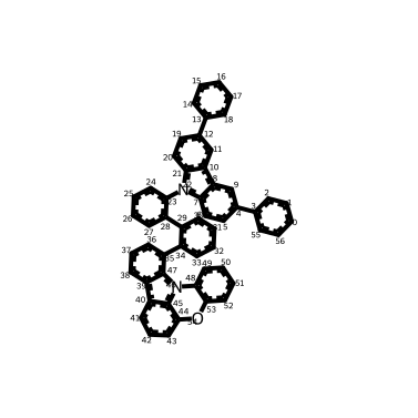 c1ccc(-c2ccc3c(c2)c2cc(-c4ccccc4)ccc2n3-c2ccccc2-c2ccccc2-c2cccc3c4cccc5c4n(c23)-c2ccccc2O5)cc1